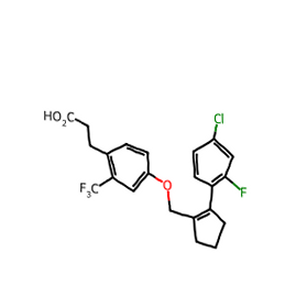 O=C(O)CCc1ccc(OCC2=C(c3ccc(Cl)cc3F)CCC2)cc1C(F)(F)F